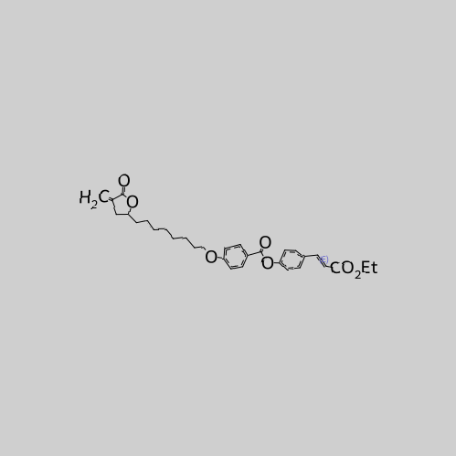 C=C1CC(CCCCCCCCOc2ccc(C(=O)Oc3ccc(/C=C/C(=O)OCC)cc3)cc2)OC1=O